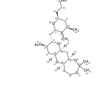 C=C1C(C[C@@H]2O[C@H]3C[C@H]4OC(C)(C)OCC[C@H]4O[C@H]3C[C@H]2OC(C)=O)O[C@@H](CCC=O)C[C@H]1C